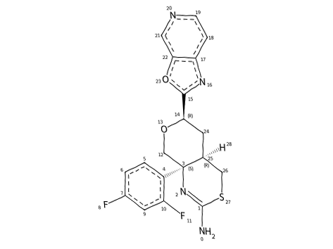 NC1=N[C@@]2(c3ccc(F)cc3F)CO[C@@H](c3nc4ccncc4o3)C[C@H]2CS1